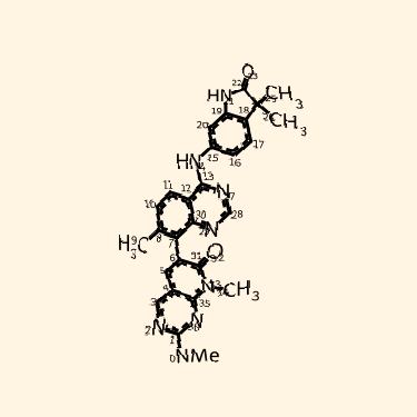 CNc1ncc2cc(-c3c(C)ccc4c(Nc5ccc6c(c5)NC(=O)C6(C)C)ncnc34)c(=O)n(C)c2n1